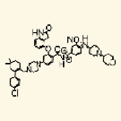 CC1(C)CCC(CN2CCN(c3ccc(C(=O)NS(=O)(=O)c4ccc(NC5CCN(C6CCOCC6)CC5)c([N+](=O)[O-])c4)c(Oc4cccc5c4CC(=O)N5)c3)CC2)=C(c2ccc(Cl)cc2)C1